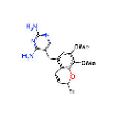 CCC1C=Cc2c(Cc3cnc(N)nc3N)cc(OC)c(OC)c2O1